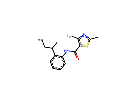 Cc1nc(C(F)(F)F)c(C(=O)Nc2ccccc2C(C)CC(C)(C)C)s1